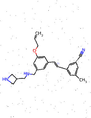 C=CCOc1cc(/C=C/c2cc(C)cc(C#N)c2)cc(CNCC2CNC2)c1